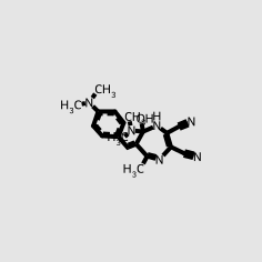 CC1=NC(C#N)=C(C#N)NC(O)(N(C)C)C1=Cc1ccc(N(C)C)cc1